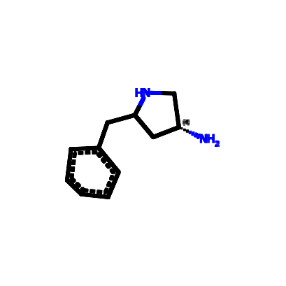 N[C@H]1CNC(Cc2ccccc2)C1